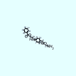 NCOBCc1ccc(NCCOC(=O)c2ccccc2)cc1